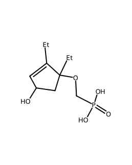 CCC1=CC(O)CC1(CC)OCP(=O)(O)O